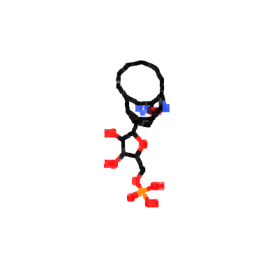 NC1=N\C23CCCCCCC(CC2O)C(/C=C\1)C(C1OC(COP(=O)(O)O)C(O)C1O)CC3